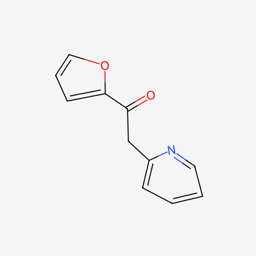 O=C(Cc1ccccn1)c1ccco1